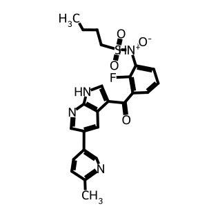 CCCCS(=O)(=O)[NH+]([O-])c1cccc(C(=O)c2c[nH]c3ncc(-c4ccc(C)nc4)cc23)c1F